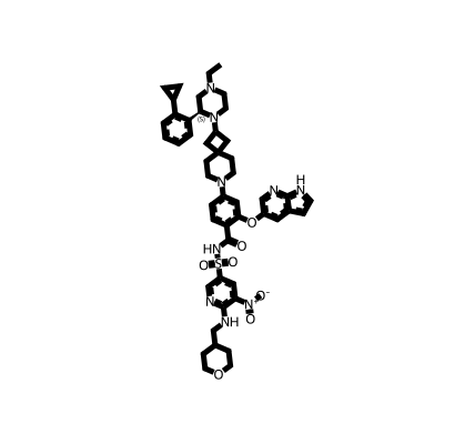 CCN1CCN(C2CC3(CCN(c4ccc(C(=O)NS(=O)(=O)c5cnc(NCC6CCOCC6)c([N+](=O)[O-])c5)c(Oc5cnc6[nH]ccc6c5)c4)CC3)C2)[C@@H](c2ccccc2C2CC2)C1